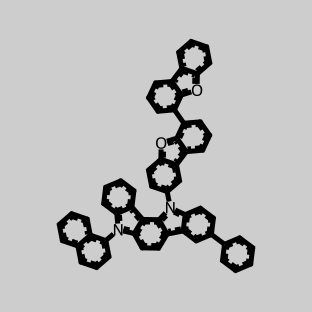 c1ccc(-c2ccc3c(c2)c2ccc4c(c5ccccc5n4-c4cccc5ccccc45)c2n3-c2ccc3oc4c(-c5cccc6c5oc5ccccc56)cccc4c3c2)cc1